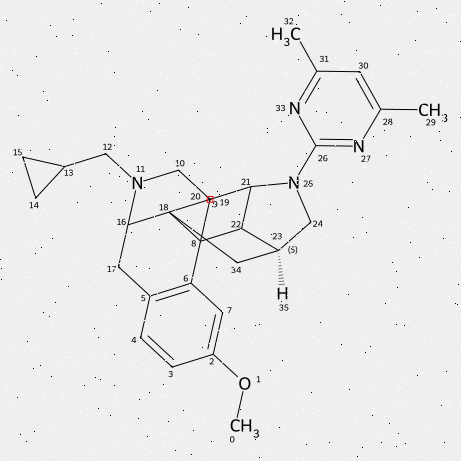 COc1ccc2c(c1)C13CCN(CC4CC4)C(C2)C12CCC1C3[C@@H](CN1c1nc(C)cc(C)n1)C2